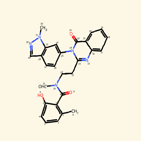 Cc1cccc(O)c1C(=O)N(C=O)CCc1nc2ccccc2c(=O)n1-c1ccc2cnn(C)c2c1